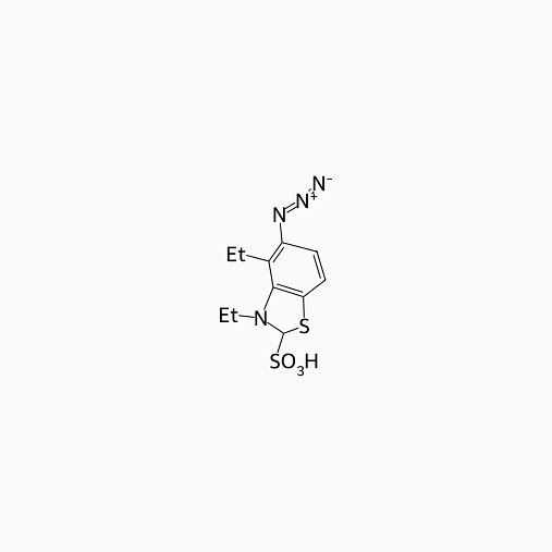 CCc1c(N=[N+]=[N-])ccc2c1N(CC)C(S(=O)(=O)O)S2